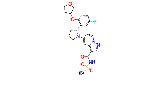 CC(C)(C)S(=O)(=O)NC(=O)c1cnn2ccc(N3CCC[C@@H]3c3cc(F)ccc3OC3CCOC3)cc12